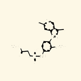 COC(=O)CCS(=O)(=O)Nc1ccc(-n2nc(C)c3cnc(Cl)cc32)c(OC)c1